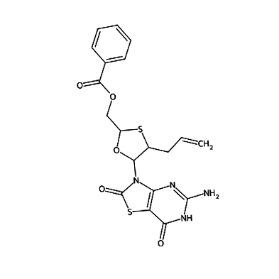 C=CCC1SC(COC(=O)c2ccccc2)OC1n1c(=O)sc2c(=O)[nH]c(N)nc21